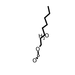 CCCCCCCCOP=O.O